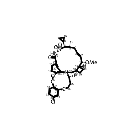 CO[C@H]1/C=C/C[C@@H](C)[C@H](C2CC2)S(=O)(=O)NC(=O)c2ccc3c(c2)N(CCCCc2cc(Cl)ccc2CO3)C[C@@H]2CC[C@H]21